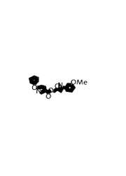 COc1cccc(-c2cc(COC(=O)c3ccc(Oc4ccccc4)nc3)on2)c1